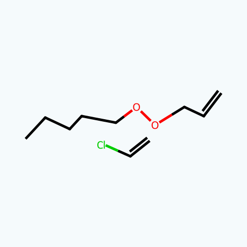 C=CCOOCCCCC.C=CCl